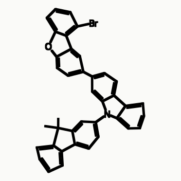 CC1(C)c2ccccc2-c2ccc(-n3c4ccccc4c4ccc(-c5ccc6oc7cccc(Br)c7c6c5)cc43)cc21